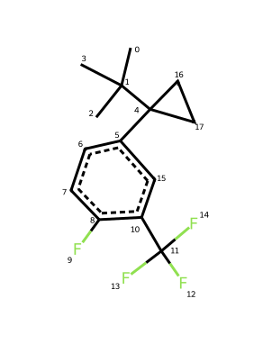 CC(C)(C)C1(c2ccc(F)c(C(F)(F)F)c2)[CH]C1